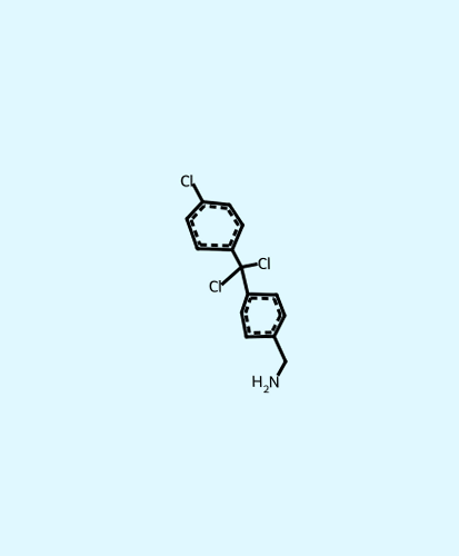 NCc1ccc(C(Cl)(Cl)c2ccc(Cl)cc2)cc1